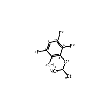 CCC(C#N)Oc1c(C)c(F)cc(F)c1F